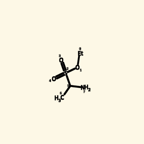 CCOS(=O)(=O)C(C)N